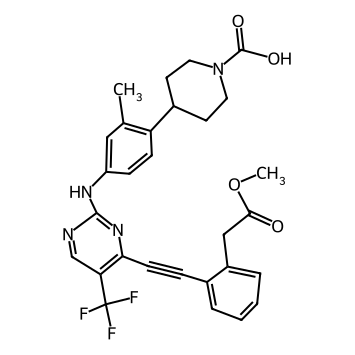 COC(=O)Cc1ccccc1C#Cc1nc(Nc2ccc(C3CCN(C(=O)O)CC3)c(C)c2)ncc1C(F)(F)F